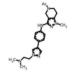 CC(=O)N1CCc2c(c(Nc3ccc(-c4cnn(CCN(C)C)c4)cc3)nn2C)C1